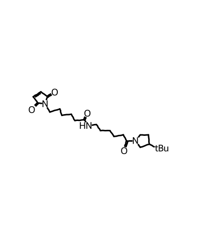 CC(C)(C)C1CCN(C(=O)CCCCCNC(=O)CCCCCN2C(=O)C=CC2=O)C1